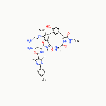 COc1c(NCCN)cc2cc1-c1cc(ccc1O)C[C@@H](C(=O)NCC#N)NC(=O)[C@H](C)NC(=O)[C@H]2N(C)C(=O)C(CCN)NC(=O)c1c(C)nc(-c2ccc(C(C)(C)C)cc2)nc1C